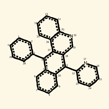 c1ccc(-c2c3ccccc3c(-c3ccccn3)c3cnc4ccccc4c23)cc1